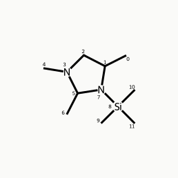 CC1CN(C)C(C)N1[Si](C)(C)C